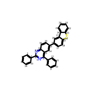 c1ccc(-c2nc(-c3ccccc3)c3cc(-c4ccc5sc6ccccc6c5c4)ccc3n2)cc1